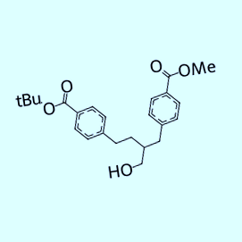 COC(=O)c1ccc(CC(CO)CCc2ccc(C(=O)OC(C)(C)C)cc2)cc1